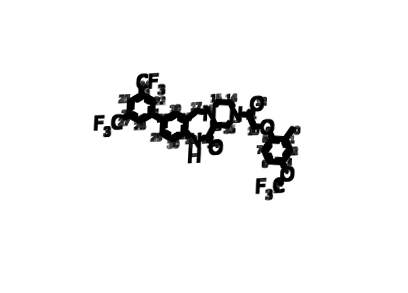 Cc1cc(OC(F)(F)F)ccc1OCC(=O)N1CCN2Cc3cc(-c4cc(C(F)(F)F)cc(C(F)(F)F)c4)ccc3NC(=O)C2C1